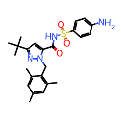 Cc1cc(C)c(Cn2nc(C(C)(C)C)cc2C(=O)NS(=O)(=O)c2ccc(N)cc2)c(C)c1